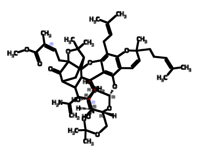 C=C(N)C(/C(N)=N\O)C1C2CC3C(C)(C)OC(C/C=C(/C)C(=O)OC)(C2=O)C32Oc3c(CC=C(C)C)c4c(c(O[C@@H]5O[C@@H]6COC(C)(C)O[C@H]6[C@H](O)[C@H]5O)c3C(=O)C12)C=CC(C)(CCC=C(C)C)O4